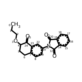 CCCOC1CCc2ccc(N3C(=O)c4ccccc4C3=O)cc2C1=O